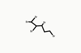 BrCCC(Br)C(Br)C(Br)Br